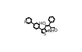 O=CC1Nc2scc(-c3ccc(-c4cccnc4)cc3)c2C(O)=C1c1ccccc1